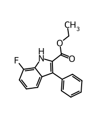 CCOC(=O)c1[nH]c2c(F)cccc2c1-c1ccccc1